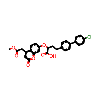 COC(=O)Cc1cc(=O)oc2cc(OC(CCc3ccc(-c4ccc(Cl)cc4)cc3)C(=O)O)ccc12